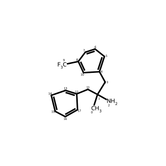 CC(N)([CH]c1cccc(C(F)(F)F)c1)Cc1ccccc1